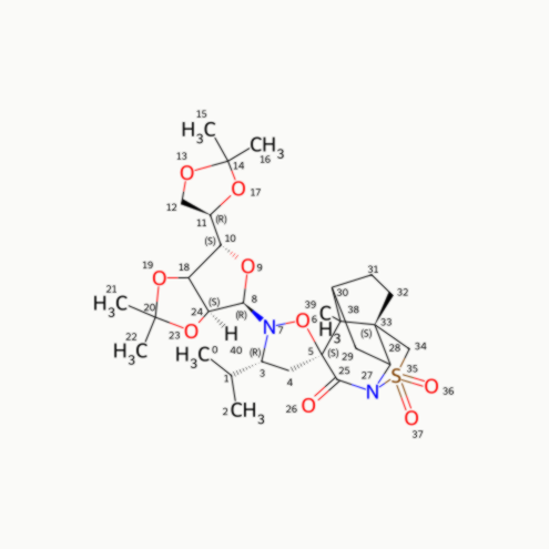 CC(C)[C@H]1C[C@@]2(ON1[C@@H]1O[C@@H]([C@H]3COC(C)(C)O3)C3OC(C)(C)O[C@@H]31)C(=O)N1C3CC4CC[C@]3(CS1(=O)=O)C42C